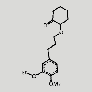 CCOc1cc(CCCOC2CCCCC2=O)ccc1OC